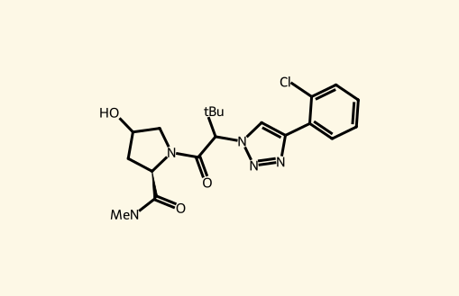 CNC(=O)[C@H]1CC(O)CN1C(=O)C(n1cc(-c2ccccc2Cl)nn1)C(C)(C)C